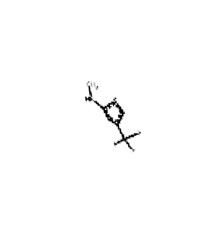 CNc1cc(C(F)(F)F)cs1